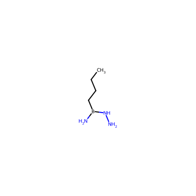 CCCCB(N)NN